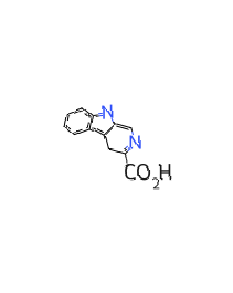 O=C(O)C1=NC=C2N=c3ccccc3=C2C1